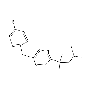 CN(C)CC(C)(C)c1ccc(Cc2ccc(F)cc2)cn1